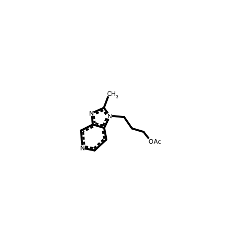 CC(=O)OCCCn1c(C)nc2cnccc21